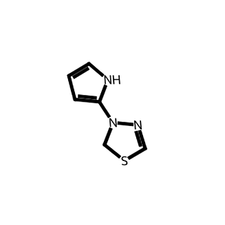 C1=NN(c2ccc[nH]2)CS1